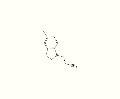 Cc1ccc2c(c1)CCN2CCN